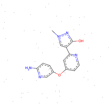 Cn1cc(-c2cc(Oc3ccc(N)nc3)ccn2)c(O)n1